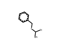 CCCC(CC)SCc1ccccc1